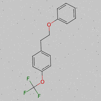 FC(F)(F)Oc1ccc(CCOc2cc[c]cc2)cc1